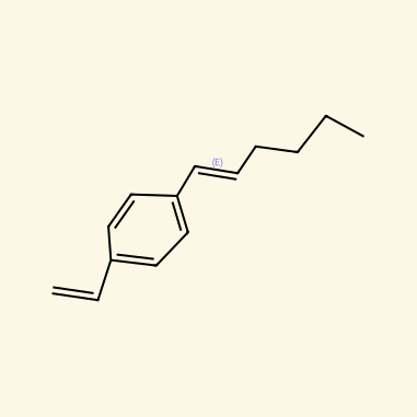 C=Cc1ccc(/C=C/CCCC)cc1